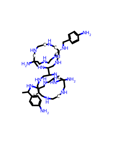 CC(NC1CNCCNCC2(N)CNCCNC[C@@H]1CNCC(C1CNC[C@@]3(NCc4ccc(N)cc4)CNCCNCCC(N)(CNCCNC3)CN1)NC2)c1ccc(N)cc1